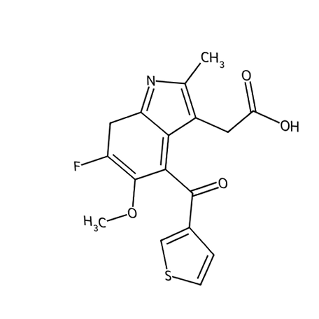 COC1=C(F)CC2=NC(C)=C(CC(=O)O)C2=C1C(=O)c1ccsc1